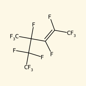 FC(=C(F)C(F)(C(F)(F)F)C(F)(F)C(F)(F)F)C(F)(F)F